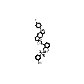 [C-]#[N+]c1cccc(S(=O)(=O)NCc2c(F)cccc2CC[C@]2(O)CCC3=Cc4c(cnn4-c4ccc(F)cc4)C[C@@]32C)c1